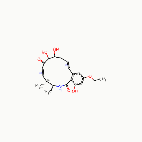 CCOc1cc(O)c2c(c1)/C=C/CC(O)C(O)C(=O)/C=C\[C@@H](C)C(C)NC2=O